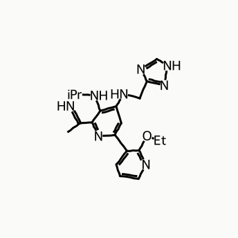 CCOc1ncccc1-c1cc(NCc2nc[nH]n2)c(NC(C)C)c(C(C)=N)n1